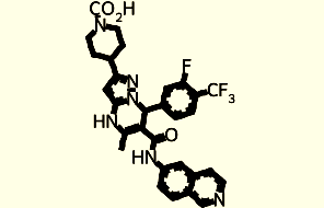 CC1=C(C(=O)Nc2ccc3cnccc3c2)C(c2ccc(C(F)(F)F)c(F)c2)n2nc(C3CCN(C(=O)O)CC3)cc2N1